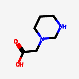 O=C(O)CN1CCCNC1